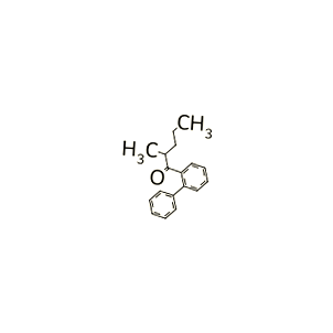 CCCC(C)C(=O)c1ccccc1-c1ccccc1